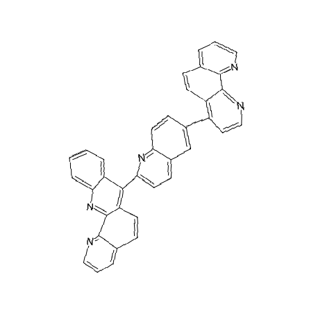 c1cnc2c(c1)ccc1c(-c3ccc4nc(-c5c6ccccc6nc6c5ccc5cccnc56)ccc4c3)ccnc12